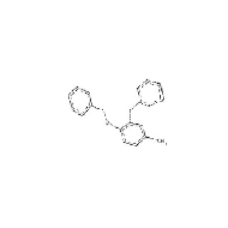 Cc1ccc(OCc2ccccc2)c(Cc2ccccc2)c1